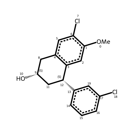 COc1cc2c(cc1Cl)C[C@@H](O)C[C@H]2c1cccc(Cl)c1